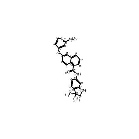 CNc1cc(Oc2ccc3c(C(=O)Nc4ccc5c(c4)NCC5(C)C)cccc3c2)ccn1